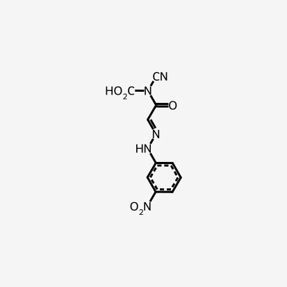 N#CN(C(=O)O)C(=O)C=NNc1cccc([N+](=O)[O-])c1